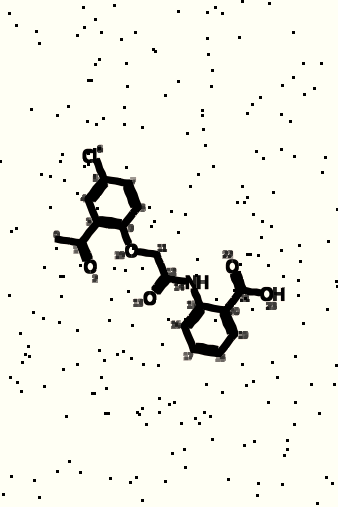 CC(=O)c1cc(Cl)ccc1OCC(=O)Nc1ccccc1C(=O)O